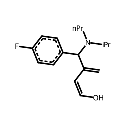 C=C(/C=C\O)C(c1ccc(F)cc1)N(CCC)C(C)C